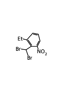 CCc1cccc([N+](=O)[O-])c1C(Br)Br